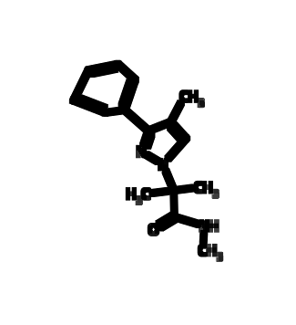 CNC(=O)C(C)(C)n1cc(C)c(-c2ccccc2)n1